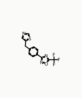 FC(F)(F)c1nc(-c2ccc(Cc3cncs3)cc2)no1